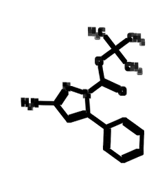 CC(C)(C)OC(=O)n1nc(N)cc1-c1ccccc1